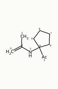 C=C(C)NC1(C(C)=O)CCCC1